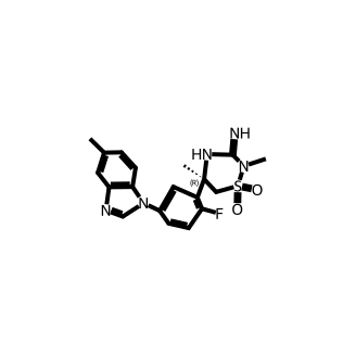 Cc1ccc2c(c1)ncn2-c1ccc(F)c([C@]2(C)CS(=O)(=O)N(C)C(=N)N2)c1